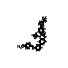 Cc1ccc(COc2cccc(C3CCN(Cc4nc5cc(-c6nnc(C(F)(F)F)[nH]6)ncc5n4C[C@@H]4CCO4)CC3)n2)nn1